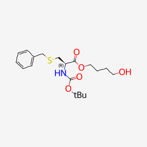 CC(C)(C)OC(=O)N[C@@H](CSCc1ccccc1)C(=O)OCCCCO